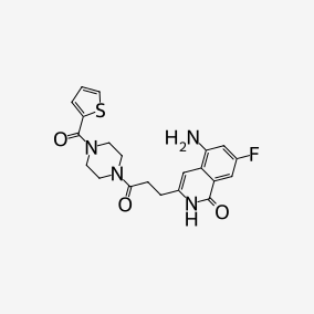 Nc1cc(F)cc2c(=O)[nH]c(CCC(=O)N3CCN(C(=O)c4cccs4)CC3)cc12